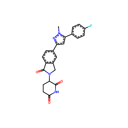 Cn1nc(-c2ccc3c(c2)CN(C2CCC(=O)NC2=O)C3=O)cc1-c1ccc(F)cc1